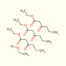 CCCC(=O)CC(=O)OCC.CCCC(=O)CC(=O)OCC.CCCC(=O)CC(=O)OCC.CC[O][Ti]